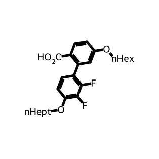 CCCCCCCOc1ccc(-c2cc(OCCCCCC)ccc2C(=O)O)c(F)c1F